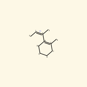 C/C=C(/C)C1=C(C)CCCC1